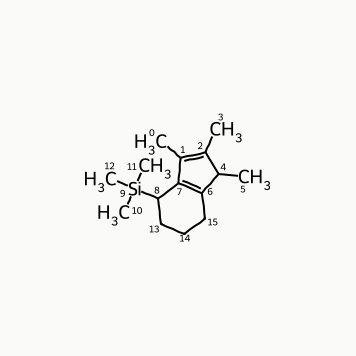 CC1=C(C)C(C)C2=C1C([Si](C)(C)C)CCC2